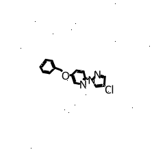 Clc1cnn(-c2ccc(OCc3ccccc3)cn2)c1